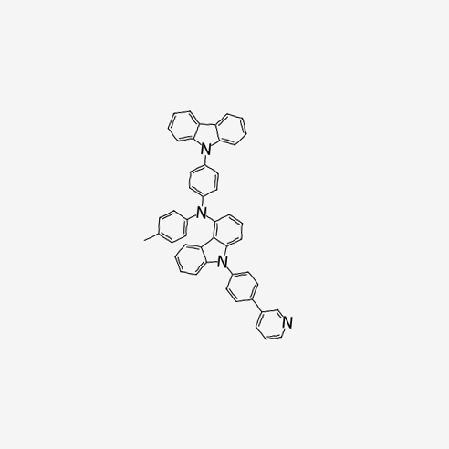 Cc1ccc(N(c2ccc(-n3c4ccccc4c4ccccc43)cc2)c2cccc3c2c2ccccc2n3-c2ccc(-c3cccnc3)cc2)cc1